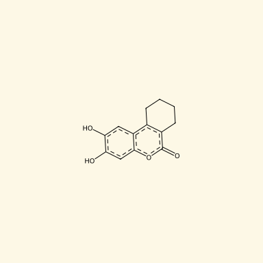 O=c1oc2cc(O)c(O)cc2c2c1CCCC2